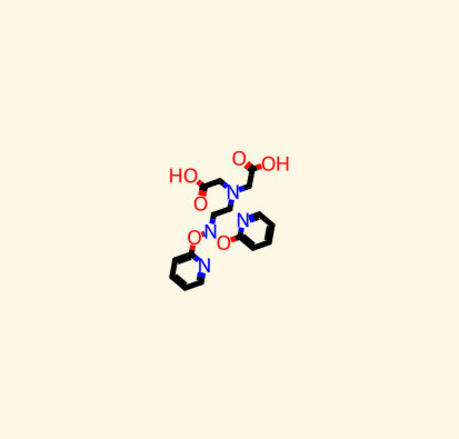 O=C(O)CN(CCN(Oc1ccccn1)Oc1ccccn1)CC(=O)O